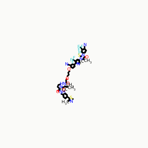 Cc1ncsc1-c1ccc(CNC(=O)C2CCCN2C(=O)[C@@H](NC(=O)COCCCCOc2ccc(-c3ncc(N4C(=S)N(c5ccc(C#N)c(C(F)(F)F)c5F)C(=O)C4(C)C)cc3C(F)(F)F)cc2C#N)C(C)(C)C)cc1